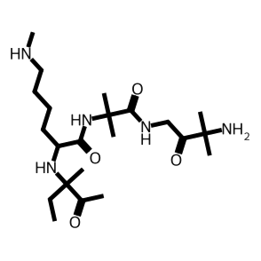 CCC(C)(NC(CCCCNC)C(=O)NC(C)(C)C(=O)NCC(=O)C(C)(C)N)C(C)=O